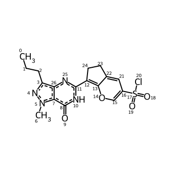 CCCc1nn(C)c2c(=O)[nH]c(C3=C4OC=C(S(=O)(=O)Cl)C=C4CC3)nc12